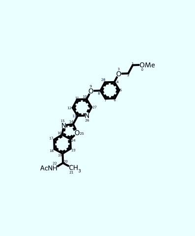 COCCOc1cccc(Oc2ccc(-c3nc4ccc(C(C)NC(C)=O)cc4o3)nc2)c1